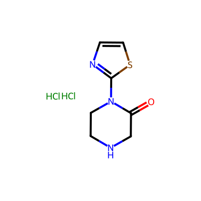 Cl.Cl.O=C1CNCCN1c1nccs1